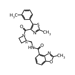 Cc1cccc(-c2sc(C)nc2C(=O)N2CC[C@@H]2CNC(=O)c2cccc3oc(C)nc23)c1